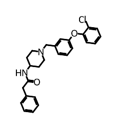 O=C(Cc1ccccc1)NC1CCN(Cc2cccc(Oc3ccccc3Cl)c2)CC1